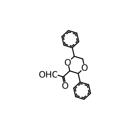 O=CC(=O)C1OC(c2ccccc2)COC1c1ccccc1